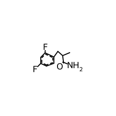 CC(Cc1ccc(F)cc1F)C(N)=O